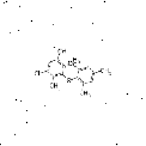 Cc1cc(C)c(Oc2c(C)c(Cl)cc(C)[n+]2[O-])c(C)c1